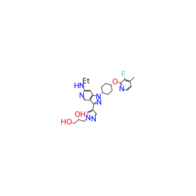 CCNc1cc2c(cn1)c(-c1cnn(C[C@@H](O)CO)c1)nn2[C@H]1CC[C@@H](Oc2nccc(C)c2F)CC1